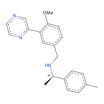 COc1ccc(CN[C@H](C)c2ccc(C)cc2)cc1-c1cnccn1